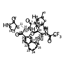 C[C@H]1C[C@@H]2C[C@H]1[C@@H](C(=O)N[C@@H](C[C@@H]1CCNC1=O)C(=O)c1nc3cccnc3s1)N2C(=O)[C@@H](NC(=O)C(F)(F)F)C(C)(C)C